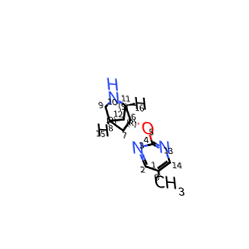 Cc1cnc(O[C@@H]2C[C@@H]3CN[C@H]2C3)nc1